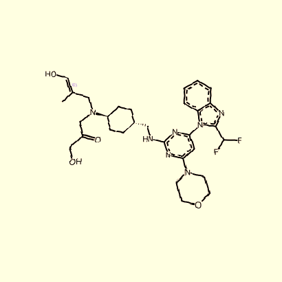 C/C(=C\O)CN(CC(=O)CO)[C@H]1CC[C@H](CNc2nc(N3CCOCC3)cc(-n3c(C(F)F)nc4ccccc43)n2)CC1